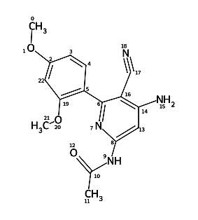 COc1ccc(-c2nc(NC(C)=O)cc(N)c2C#N)c(OC)c1